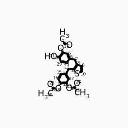 CC(=O)Oc1cc(Cc2ccsc2Cc2ccc(OC(C)=O)c(OC(C)=O)c2)ccc1O